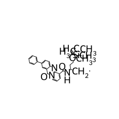 [CH2]C(CCO[Si](C)(C)C(C)(C)C)NC(=O)c1cccn2c(=O)c3cc(-c4ccccc4)ccc3nc12